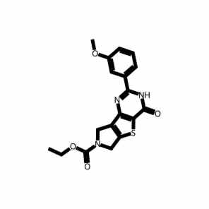 CCOC(=O)N1Cc2sc3c(=O)[nH]c(-c4cccc(OC)c4)nc3c2C1